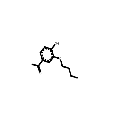 CCCCSc1cc(C(C)=O)ccc1O